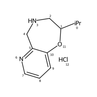 CC(C)C1CNCc2ncccc2O1.Cl